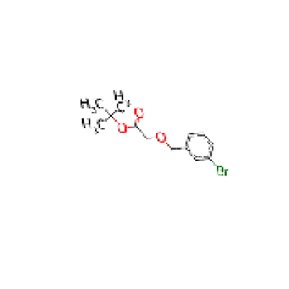 CC(C)(C)OC(=O)COCc1cccc(Br)c1